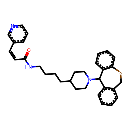 O=C(/C=C\c1cccnc1)NCCCCC1CCN(C2c3ccccc3CSc3ccccc32)CC1